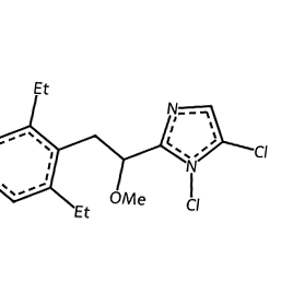 CCc1cccc(CC)c1CC(OC)c1ncc(Cl)n1Cl